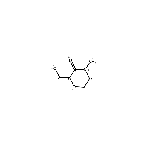 CN1CCOC(CO)C1=O